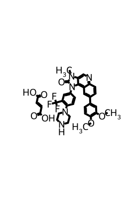 COc1ccc(-c2ccc3ncc4c(c3c2)n(-c2ccc(N3CCNCC3)c(C(F)(F)F)c2)c(=O)n4C)cc1OC.O=C(O)C=CC(=O)O